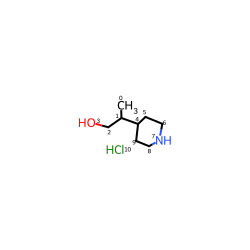 CC(CO)C1CCNCC1.Cl